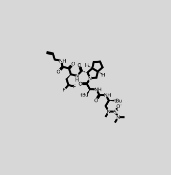 C=CCNC(=O)C(=O)[C@H](CC(F)F)NC(=O)[C@@H]1[C@H]2CCC[C@H]2CN1C(=O)[C@@H](NC(=O)N[C@H](CN(C)[S+]([O-])N(C)C)C(C)(C)C)C(C)(C)C